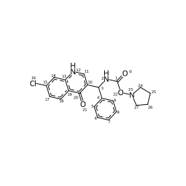 O=C(NC(c1ccccc1)c1c[nH]c2cc(Cl)ccc2c1=O)ON1CCCC1